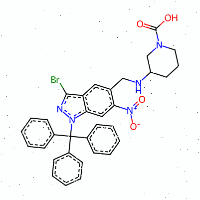 O=C(O)N1CCCC(NCc2cc3c(Br)nn(C(c4ccccc4)(c4ccccc4)c4ccccc4)c3cc2[N+](=O)[O-])C1